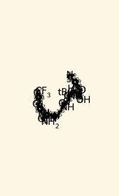 Cc1ncsc1-c1ccc(CNC(=O)[C@@H]2C[C@@H](O)CN2C(=O)C(NC(=O)COCC(=O)NCCCCn2cnc(-c3cnc(OC4CCN(C(=O)Cc5ccc(OC(F)(F)F)cc5)CC4)c(C(N)=O)c3)c2)C(C)(C)C)cc1